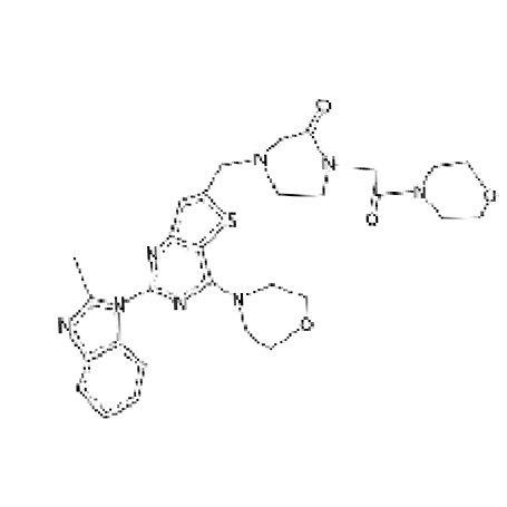 Cc1nc2ccccc2n1-c1nc(N2CCOCC2)c2sc(CN3CCN(CC(=O)N4CCOCC4)C(=O)C3)cc2n1